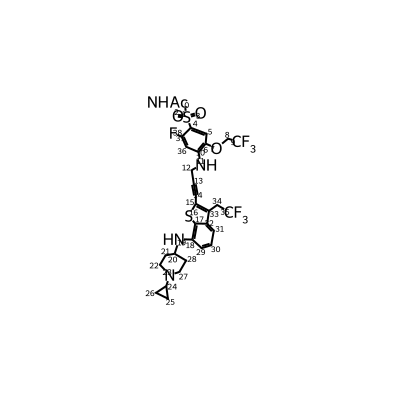 CC(=O)NS(=O)(=O)c1cc(OCC(F)(F)F)c(NCC#Cc2sc3c(NC4CCN(C5CC5)CC4)cccc3c2CC(F)(F)F)cc1F